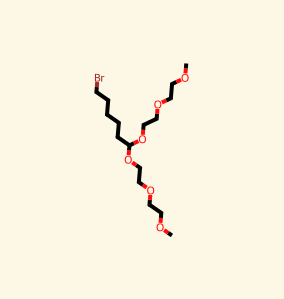 COCCOCCOC(CCCCCBr)OCCOCCOC